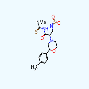 CNC(=S)NC(=O)C(CN=S(=O)=O)N1CCOC(c2ccc(C)cc2)C1